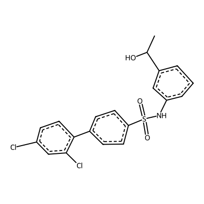 CC(O)c1cccc(NS(=O)(=O)c2ccc(-c3ccc(Cl)cc3Cl)cc2)c1